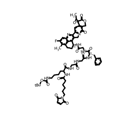 Cc1c(F)cc2nc3c(c4c2c1CC[C@@H]4NC(=O)CNC(=O)[C@H](Cc1ccccc1)NC(=O)CNC(=O)CNC(=O)C(CCCCNC(=O)OC(C)(C)C)NC(=O)CCCCCN1C(=O)C=CC1=O)Cn1c-3cc2c(c1=O)COC(=O)[C@@]21OC1C